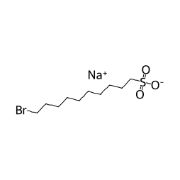 O=S(=O)([O-])CCCCCCCCCCBr.[Na+]